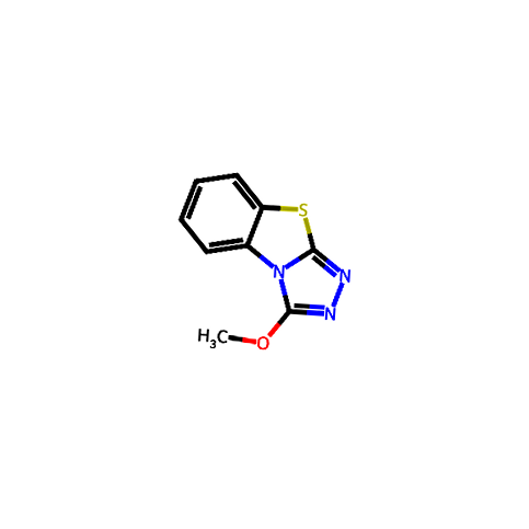 COc1nnc2sc3ccccc3n12